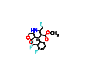 COC(=O)C1=C(CF)NC2=C(C(=O)OC2)[C@@H]1c1cccc(F)c1C(F)F